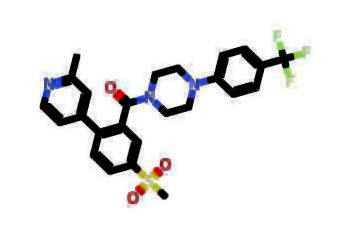 Cc1cc(-c2ccc(S(C)(=O)=O)cc2C(=O)N2CCN(c3ccc(C(F)(F)F)cc3)CC2)ccn1